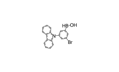 OBc1cc(Br)cc(-n2c3ccccc3c3ccccc32)c1